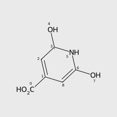 O=C(O)C1=C[C](O)NC(O)=C1